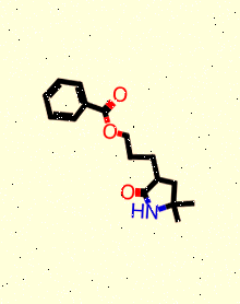 CC1(C)CC(CCCOC(=O)c2ccccc2)C(=O)N1